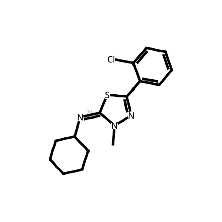 Cn1nc(-c2ccccc2Cl)s/c1=N/C1CCCCC1